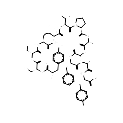 CC(=O)N[C@@H](Cc1ccc(O)cc1)C(=O)N[C@@H](CO)C(=O)N[C@@H](CO)C(=O)N[C@@H](CC(=O)O)C(=O)N[C@H](C(=O)N[C@H](C(=O)N1CCC[C@H]1C(=O)N[C@@H](C)C(=O)N[C@@H](C)C(=O)N[C@@H](Cc1ccccc1)C(=O)N[C@@H](C)C(=O)N[C@@H](Cc1ccc(O)cc1)C(N)=O)[C@@H](C)O)[C@@H](C)O